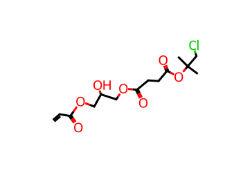 C=CC(=O)OCC(O)COC(=O)CCC(=O)OC(C)(C)CCl